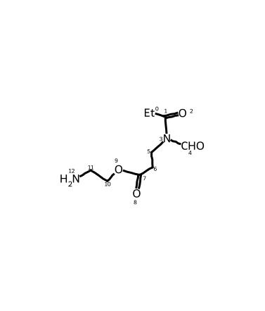 CCC(=O)N(C=O)CCC(=O)OCCN